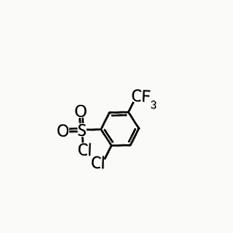 O=S(=O)(Cl)c1cc(C(F)(F)F)ccc1Cl